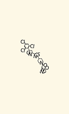 Cn1ccc(=O)n1CC(=O)N1CCC(c2nc(C3=NOC(c4c(Cl)cc(Cl)cc4Cl)C3)cs2)CC1